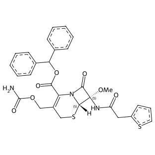 CO[C@@]1(NC(=O)Cc2cccs2)C(=O)N2C(C(=O)OC(c3ccccc3)c3ccccc3)=C(COC(N)=O)CS[C@H]21